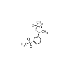 CC(OS(C)(=O)=O)c1cccc(S(C)(=O)=O)c1